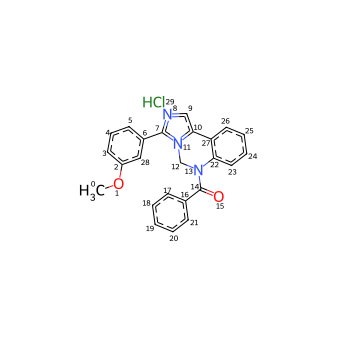 COc1cccc(-c2ncc3n2CN(C(=O)c2ccccc2)c2ccccc2-3)c1.Cl